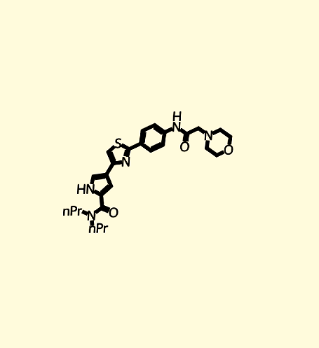 CCCN(CCC)C(=O)c1cc(-c2csc(-c3ccc(NC(=O)CN4CCOCC4)cc3)n2)c[nH]1